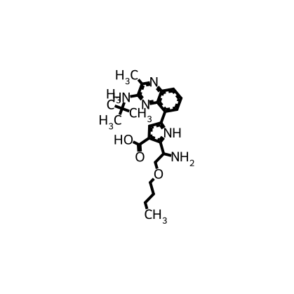 CCCCOCC(N)c1[nH]c(-c2cccc3nc(C)c(NC(C)(C)C)nc23)cc1C(=O)O